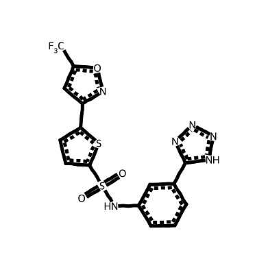 O=S(=O)(Nc1cccc(-c2nnn[nH]2)c1)c1ccc(-c2cc(C(F)(F)F)on2)s1